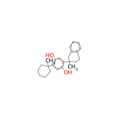 CC1(c2cc(O)c(C3(C)CCc4ccccc4C3)cc2O)CCCCC1